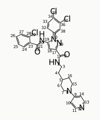 O=C(NCCC1CCN(c2ccncc2)CC1)c1cc(NC(=O)c2ccccc2Cl)n(-c2ccc(Cl)c(Cl)c2)n1